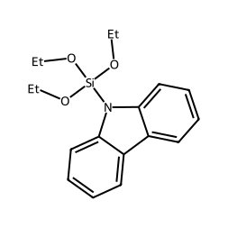 CCO[Si](OCC)(OCC)n1c2ccccc2c2ccccc21